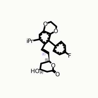 CC(C)c1cc2c(c(-c3ccc(F)cc3)c1/C=C/[C@@H]1C[C@@H](O)CC(=O)O1)OCCO2